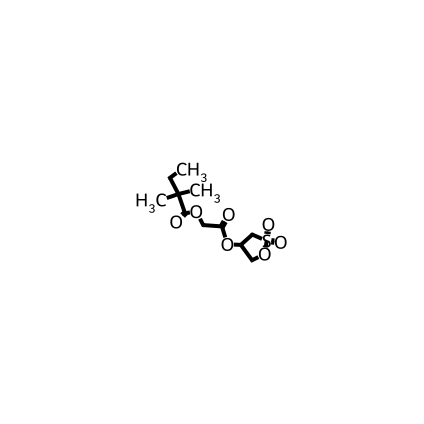 CCC(C)(C)C(=O)OCC(=O)OC1COS(=O)(=O)C1